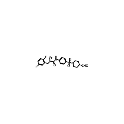 CC(C)N(Cc1cc(F)ccc1F)C(=O)Nc1ccc(S(=O)(=O)N2CCC(C=O)CC2)cc1